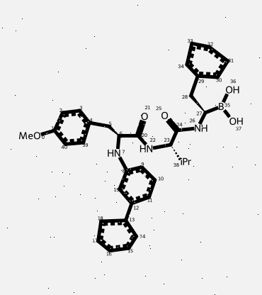 COc1ccc(C[C@H](Nc2cccc(-c3ccccc3)c2)C(=O)N[C@H](C(=O)N[C@@H](Cc2ccccc2)B(O)O)C(C)C)cc1